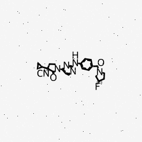 N#C[C@@]1(C2CC2)CCN(c2ccnc(Nc3ccc(C(=O)N4CC[C@@H](F)C4)cc3)n2)C1=O